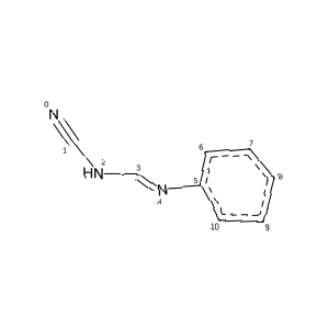 N#CNC=Nc1ccccc1